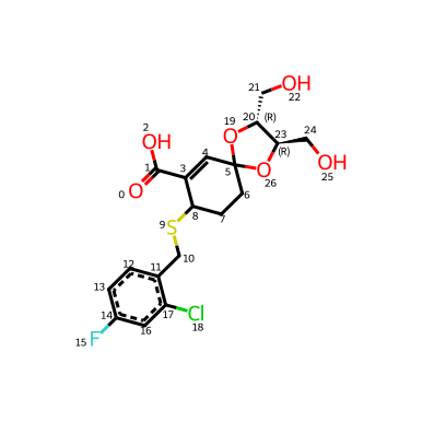 O=C(O)C1=CC2(CCC1SCc1ccc(F)cc1Cl)O[C@H](CO)[C@@H](CO)O2